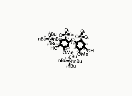 CCCC[N+](CCCC)(CCCC)CCCC.CCCC[N+](CCCC)(CCCC)CCCC.COc1cc(Oc2cc(OC)c(O)cc2S(=O)(=O)[O-])c(S(=O)(=O)[O-])cc1O